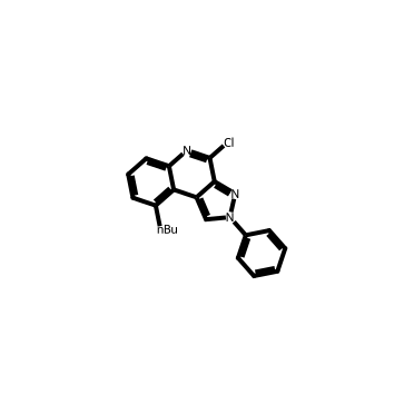 CCCCc1cccc2nc(Cl)c3nn(-c4ccccc4)cc3c12